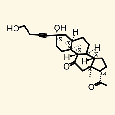 CC(=O)[C@H]1CC[C@H]2[C@@H]3CC[C@@H]4C[C@](O)(C#CCCO)CC[C@]4(C)[C@H]3C(=O)C[C@]12C